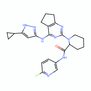 O=C(Nc1ccc(F)nc1)C1CCCCN1c1nc2c(c(Nc3cc(C4CC4)[nH]n3)n1)CCC2